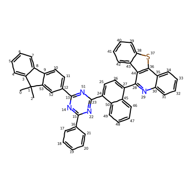 CC1(C)c2ccccc2-c2ccc(-c3nc(-c4ccccc4)nc(-c4ccc(-c5nc6ccccc6c6sc7ccccc7c56)c5ccccc45)n3)cc21